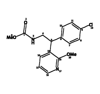 COC(=O)NCC(c1ccc(Cl)cc1)c1cccnc1OC